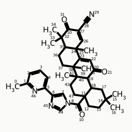 Cc1cccc(-c2cn(C(=O)C34CCC(C)(C)CC3C3C(=O)C=C5C6(C)C=C(C#N)C(=O)C(C)(C)C6CCC5(C)C3(C)CC4)cn2)n1